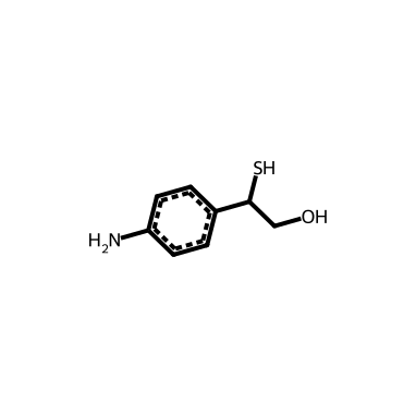 Nc1ccc(C(S)CO)cc1